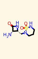 N[C@@H]1C(=O)N[C@@H]1CN1CCCNS1(=O)=O